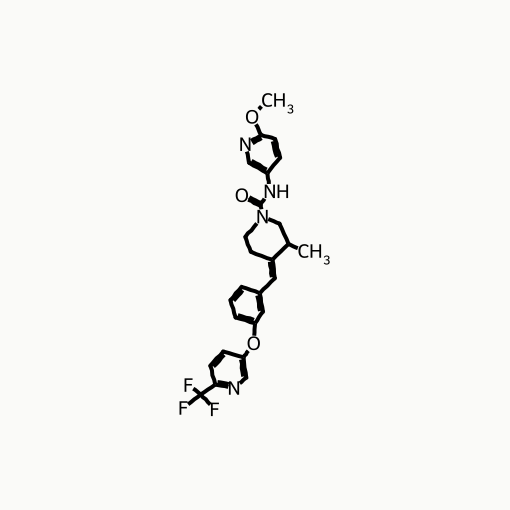 COc1ccc(NC(=O)N2CC/C(=C\c3cccc(Oc4ccc(C(F)(F)F)nc4)c3)C(C)C2)cn1